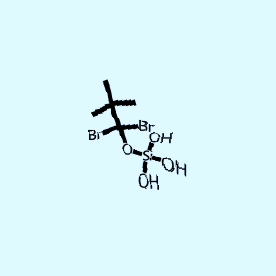 CC(C)(C)C(Br)(Br)O[Si](O)(O)O